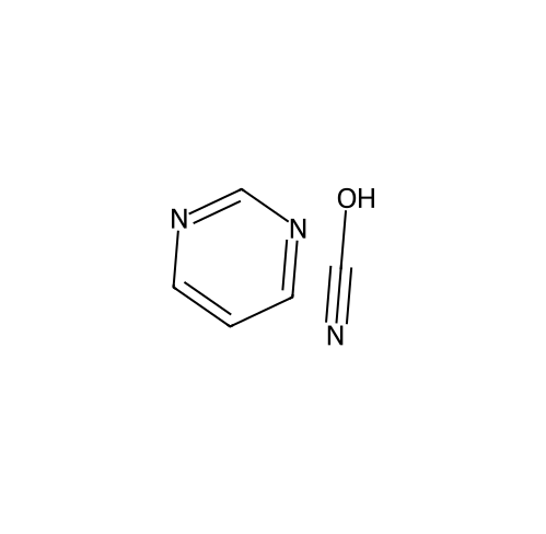 N#CO.c1cncnc1